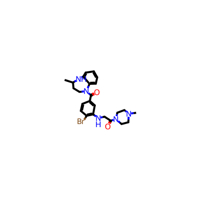 CC1CCN(C(=O)c2ccc(Br)c(NCC(=O)N3CCN(C)CC3)c2)c2ccccc2N1